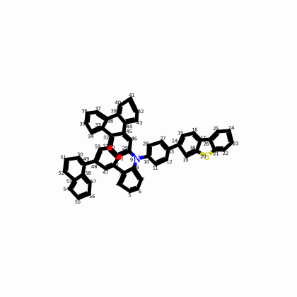 c1cc(-c2ccccc2N(c2ccc(-c3ccc4c(c3)sc3ccccc34)cc2)c2ccc3c4ccccc4c4ccccc4c3c2)cc(-c2cccc3ccccc23)c1